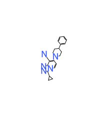 N#Cc1c(N2CCC(c3ccccc3)CC2)ccn2c(C3CC3)nnc12